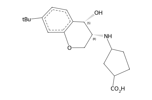 CC(C)(C)c1ccc2c(c1)OC[C@@H](NC1CCC(C(=O)O)C1)[C@H]2O